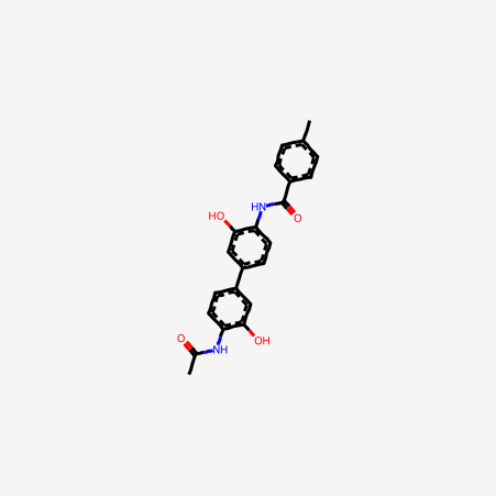 CC(=O)Nc1ccc(-c2ccc(NC(=O)c3ccc(C)cc3)c(O)c2)cc1O